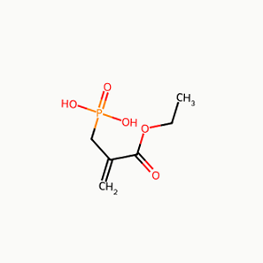 C=C(CP(=O)(O)O)C(=O)OCC